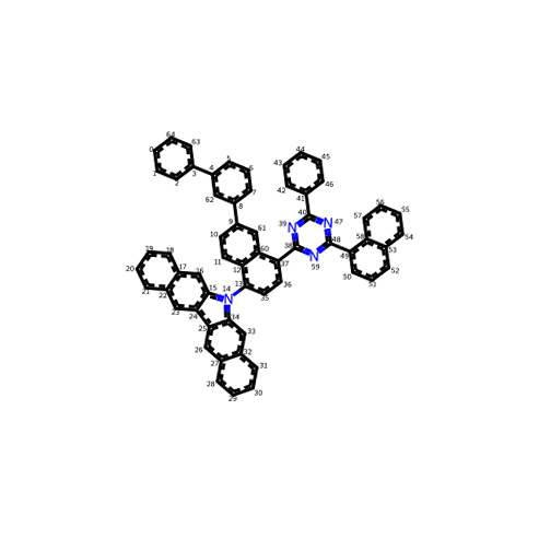 c1ccc(-c2cccc(-c3ccc4c(-n5c6cc7ccccc7cc6c6cc7ccccc7cc65)ccc(-c5nc(-c6ccccc6)nc(-c6cccc7ccccc67)n5)c4c3)c2)cc1